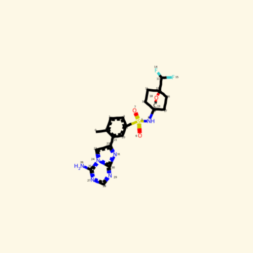 Cc1ccc(S(=O)(=O)NC23CCC(C(F)F)(CC2)OC3)cc1-c1cn2c(N)ncnc2n1